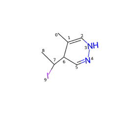 CC1=CNN=CC1C(C)I